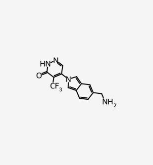 NCc1ccc2cn(-c3cn[nH]c(=O)c3C(F)(F)F)cc2c1